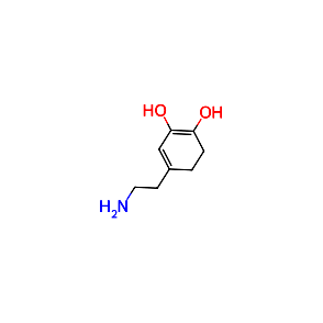 NCCC1=CC(O)=C(O)CC1